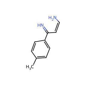 Cc1ccc(C(=N)/C=C\N)cc1